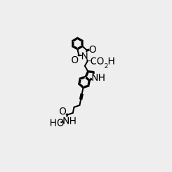 O=C(CCCC#Cc1ccc2c(C[C@@H](C(=O)O)N3C(=O)c4ccccc4C3=O)c[nH]c2c1)NO